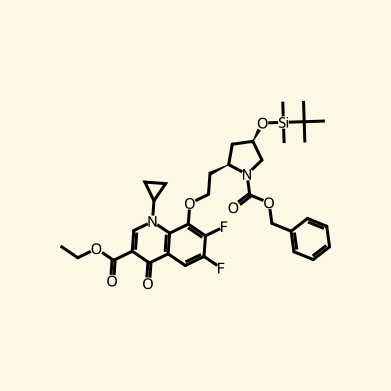 CCOC(=O)c1cn(C2CC2)c2c(OCC[C@H]3C[C@@H](O[Si](C)(C)C(C)(C)C)CN3C(=O)OCc3ccccc3)c(F)c(F)cc2c1=O